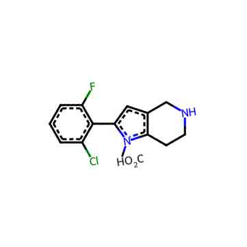 O=C(O)n1c(-c2c(F)cccc2Cl)cc2c1CCNC2